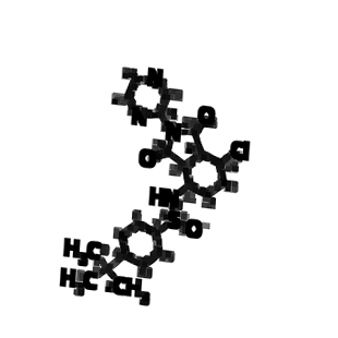 CC(C)(C)c1ccc([S+]([O-])Nc2ccc(Cl)c3c2C(=O)N(c2cnccn2)C3=O)cc1